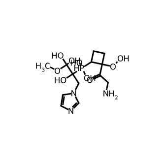 COC(O)(O)C(O)(Cn1ccnc1)[PH](O)(O)C1CCC1(OO)C(=O)CN